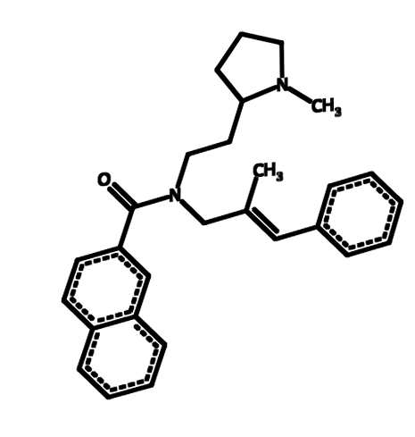 C/C(=C\c1ccccc1)CN(CCC1CCCN1C)C(=O)c1ccc2ccccc2c1